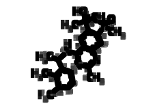 Cc1nc(NC(C)c2cccc(C(F)(F)F)c2C)c2cc(C(C)(C)O)c(P(C)(C)=O)cc2n1